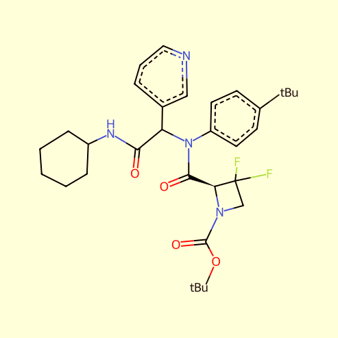 CC(C)(C)OC(=O)N1CC(F)(F)[C@@H]1C(=O)N(c1ccc(C(C)(C)C)cc1)C(C(=O)NC1CCCCC1)c1cccnc1